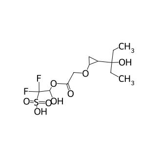 CCC(O)(CC)C1CC1OCC(=O)OC(O)C(F)(F)S(=O)(=O)O